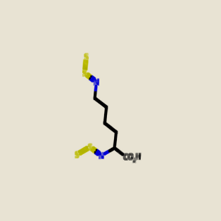 O=C(O)C(CCCCN=S=S)N=S=S